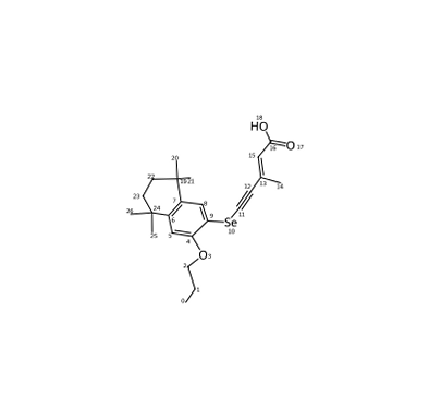 CCCOc1cc2c(cc1[Se]C#CC(C)=CC(=O)O)C(C)(C)CCC2(C)C